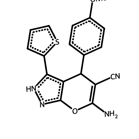 COc1ccc(C2C(C#N)=C(N)Oc3n[nH]c(-c4cccs4)c32)cc1